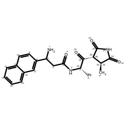 CC(C)[C@H](NC(=O)CC(N)c1ccc2ccccc2c1)C(=O)[C@@H]1C(=O)NC(=O)[C@H]1C